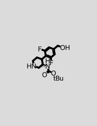 CC(C)(C)OC(=O)N[C@H]1CNCCC1c1c(F)cc(CO)cc1F